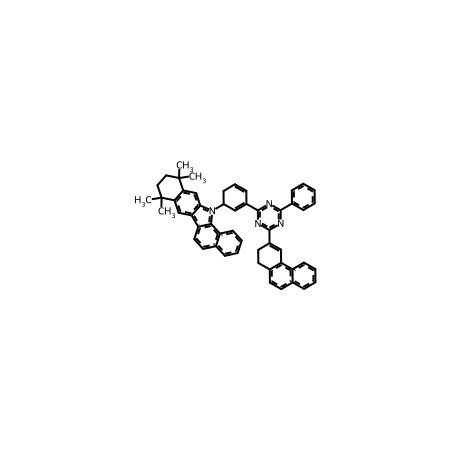 CC1(C)CCC(C)(C)c2cc3c(cc21)c1ccc2ccccc2c1n3C1C=C(c2nc(C3=Cc4c(ccc5ccccc45)CC3)nc(-c3ccccc3)n2)C=CC1